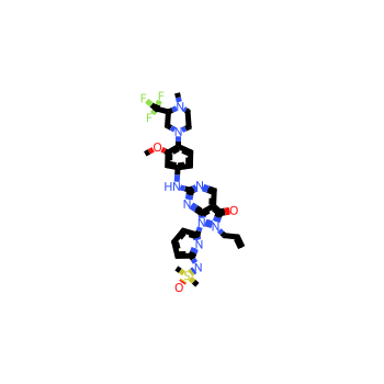 C=CCn1c(=O)c2cnc(Nc3ccc(N4CCN(C)C(C(F)(F)F)C4)c(OC)c3)nc2n1-c1cccc(N=S(C)(C)=O)n1